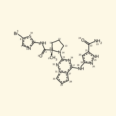 C[C@@]1(C(=O)Nc2ncc(Br)s2)CCCN1c1nc(Nc2cc(C(N)=O)[nH]n2)c2cccn2n1